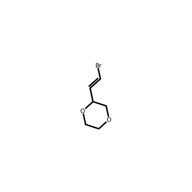 BrC=CC1COCCO1